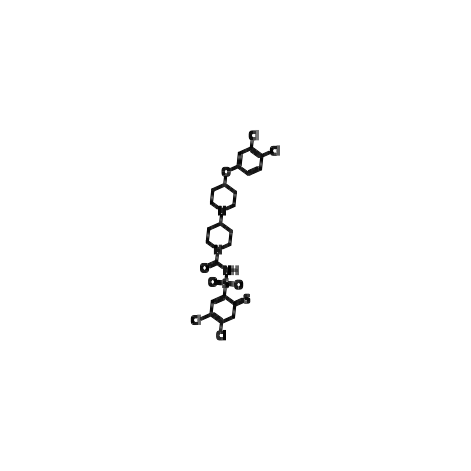 O=C(NS(=O)(=O)C1=CC(Cl)=C(Cl)CC1=S)N1CCC(N2CCC(Oc3ccc(Cl)c(Cl)c3)CC2)CC1